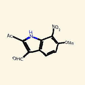 COc1ccc2c(C=O)c(C(C)=O)[nH]c2c1[N+](=O)[O-]